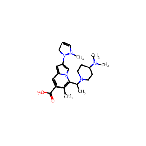 Cc1c(C(=O)O)cc2cc(N3CC=CN3C)cn2c1C(C)N1CCC(N(C)C)CC1